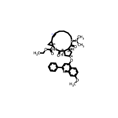 CCOC(=O)[C@@]12CC1/C=C\CCCCN(N(C)C)C(=O)[C@@H]1C[C@H](Oc3cc(-c4ccccc4)nc4cc(OC)ccc34)C[C@H]1C(=O)N2